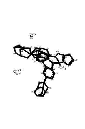 CC1(C2c3ccc(C45CC6CC(CC(C6)C4)C5)cc3-c3cc(C45CC6CC(CC(C6)C4)C5)ccc32)C2=C(CC=C2)C[C@@H]1C12CC3CC(CC(C3)C1)C2.[Cl-].[Cl-].[Zr+2]